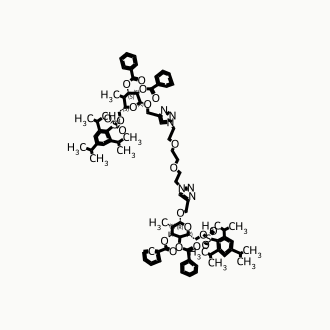 CC(C)c1cc(C(C)C)c(S(=O)(=O)OC[C@H]2O[C@@H](OCc3cn(CCOCCOCCn4cc(CO[C@@H]5O[C@H](COS(=O)(=O)c6c(C(C)C)cc(C(C)C)cc6C(C)C)C(C)[C@H](OC(=O)c6ccccc6)[C@@H]5OC(=O)c5ccccc5)nn4)nn3)[C@@H](C)[C@@H](OC(=O)c3ccccc3)C2OC(=O)c2ccccc2)c(C(C)C)c1